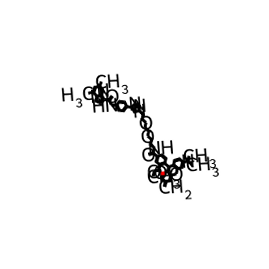 C=c1ccc2c(c1)Oc1cc(N(C)C)ccc1C=2c1ccc(C(=O)NCCOCCOCCn2cc(-c3ccc(NC(=O)c4ccn5c(C)cc(C)nc45)cc3)nn2)cc1C(=O)OC